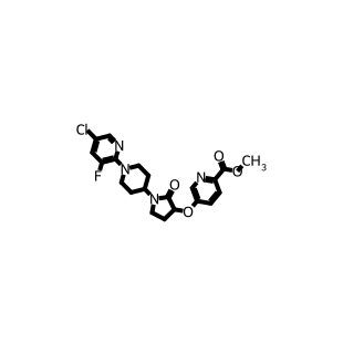 COC(=O)c1ccc(OC2CCN(C3CCN(c4ncc(Cl)cc4F)CC3)C2=O)cn1